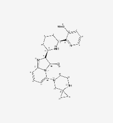 COc1cccnc1[C@@H]1CCC[C@H](C2N=C3C=CC=C(N4CCNC5(CC5)C4)N3C2Cl)N1